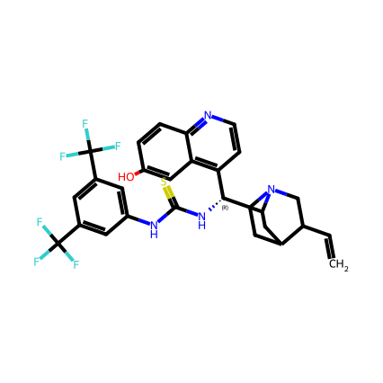 C=CC1CN2CCC1CC2[C@H](NC(=S)Nc1cc(C(F)(F)F)cc(C(F)(F)F)c1)c1ccnc2ccc(O)cc12